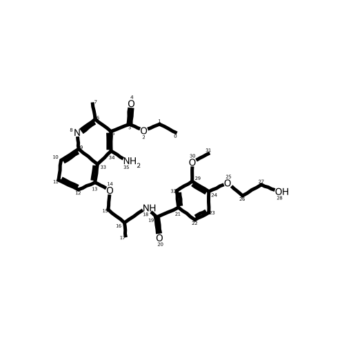 CCOC(=O)c1c(C)nc2cccc(OCC(C)NC(=O)c3ccc(OCCO)c(OC)c3)c2c1N